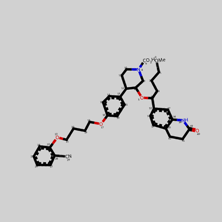 COCCCC(OC1CN(C(=O)O)CCC1c1ccc(OCCCCOc2ccccc2C#N)cc1)c1ccc2c(c1)NC(=O)CC2